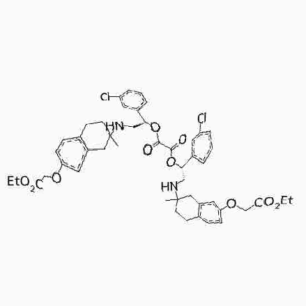 CCOC(=O)COc1ccc2c(c1)CC(C)(NC[C@H](OC(=O)C(=O)O[C@@H](CNC1(C)CCc3ccc(OCC(=O)OCC)cc3C1)c1cccc(Cl)c1)c1cccc(Cl)c1)CC2